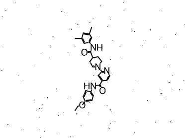 CCOc1ccc(NC(=O)c2ccnc(N3CCC(C(=O)Nc4cc(C)cc(C)c4)CC3)c2)cc1